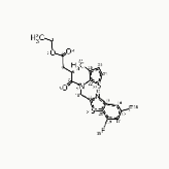 CCOC(=O)CCC(=O)N(Cc1nc2cc(F)cc(F)c2s1)c1sccc1C